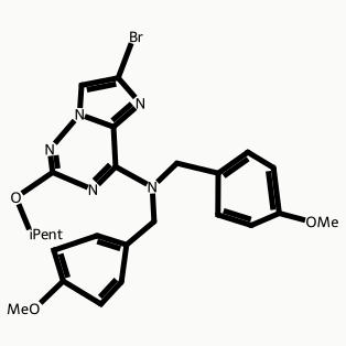 CCCC(C)Oc1nc(N(Cc2ccc(OC)cc2)Cc2ccc(OC)cc2)c2nc(Br)cn2n1